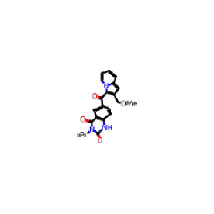 CCCn1c(=O)[nH]c2ccc(C(=O)c3c(COC)cc4ccccn34)cc2c1=O